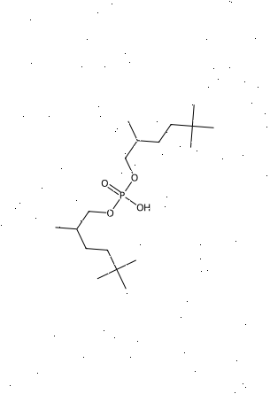 CC(CCC(C)(C)C)COP(=O)(O)OCC(C)CCC(C)(C)C